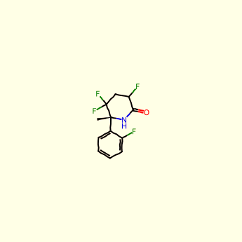 C[C@]1(c2ccccc2F)NC(=O)C(F)CC1(F)F